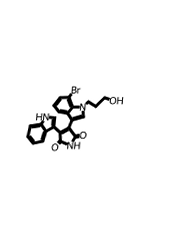 O=C1NC(=O)C(c2cn(CCCO)c3c(Br)cccc23)=C1c1c[nH]c2ccccc12